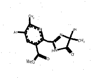 COC(=O)c1cc(C(C)=O)c(C)nc1C1=NC(C)(C(C)C)C(=O)N1